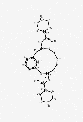 O=C(CN1CCNCCN(CC(=O)N2CCOCC2)Cc2cccc(n2)C1)N1CCOCC1